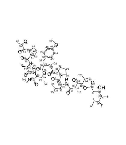 CC[C@H](C)[C@@H](C)[C@@H](O)CC(=O)O[C@H](C(=O)[C@H](C)C(=O)N[C@@H](CC(C)C)C(=O)N1CCC[C@H]1C(=O)N(C)[C@@H](Cc1ccc(OC)cc1)C(=O)O[C@H](C)[C@H](NC(=O)[C@@H](C)N(C)C(=O)[C@@H]1CCCN1C(=O)C(C)=O)C(N)=O)C(C)C